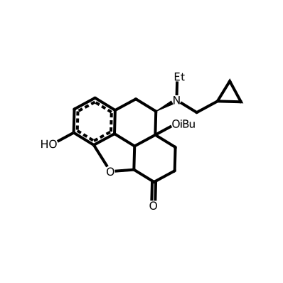 CCN(CC1CC1)[C@@H]1Cc2ccc(O)c3c2C2C(O3)C(=O)CCC21OCC(C)C